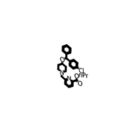 CCCOC(=O)c1cccc(CN2CCC(OC(c3ccccc3)c3ccc(Cl)cc3)CC2)n1